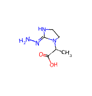 CC(C(=O)O)N1CCN/C1=N\N